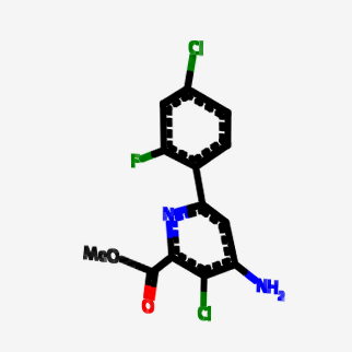 COC(=O)c1nc(-c2ccc(Cl)cc2F)cc(N)c1Cl